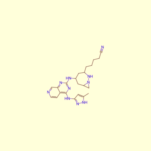 Cc1cc(Nc2nc(NC3CC(CCCCC#N)NN4CC4C3)nc3cnccc23)n[nH]1